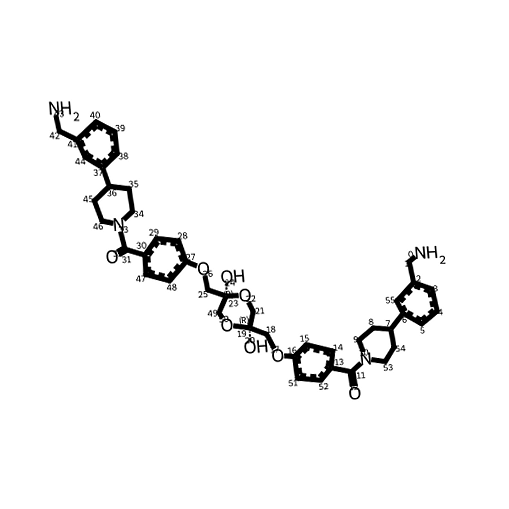 NCc1cccc(C2CCN(C(=O)c3ccc(OC[C@]4(O)CO[C@](O)(COc5ccc(C(=O)N6CCC(c7cccc(CN)c7)CC6)cc5)CO4)cc3)CC2)c1